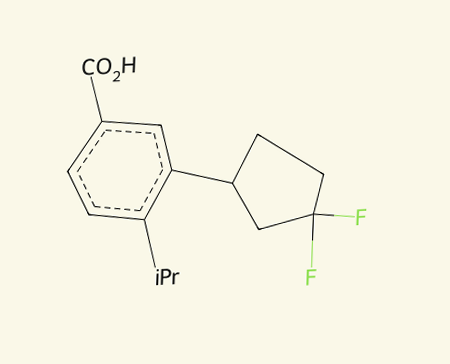 CC(C)c1ccc(C(=O)O)cc1C1CCC(F)(F)C1